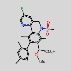 Cc1ccc(-c2c(C)c3c(c(C)c2[C@H](OC(C)(C)C)C(=O)O)N(S(C)(=O)=O)Cc2cc(F)cnc2-3)c(C)c1